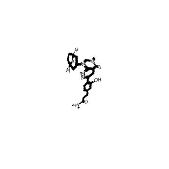 CNC(=O)/C=C/c1ccc(-c2cc3c(nn2)N(C2C[C@H]4CC[C@@H](C2)N4)CN(C)C3=O)c(O)c1